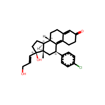 C[C@]12C[C@H](c3ccc(Cl)cc3)C3=C4CCC(=O)C=C4CC[C@H]3[C@@H]1CC[C@@]2(O)C=CCO